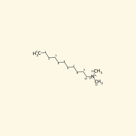 CCCCCCCCCCC[N+](C)C